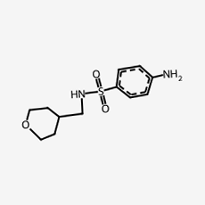 Nc1ccc(S(=O)(=O)NCC2CCOCC2)cc1